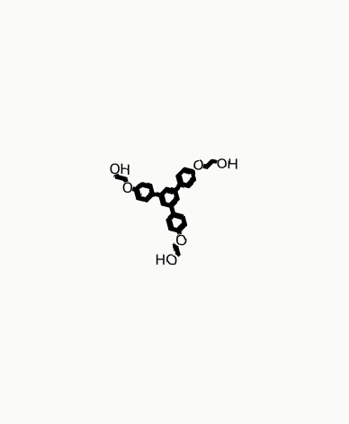 OCCOc1ccc(-c2cc(-c3ccc(OCCO)cc3)cc(-c3ccc(OCCO)cc3)c2)cc1